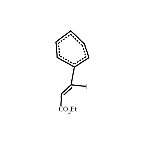 CCOC(=O)/C=C(\I)c1ccccc1